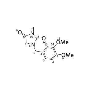 COc1ccc(CN2CC(=O)NC2=O)cc1OC